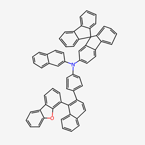 c1ccc2c(c1)-c1ccccc1C21c2ccccc2-c2ccc(N(c3ccc(-c4ccc5ccccc5c4-c4cccc5c4oc4ccccc45)cc3)c3ccc4ccccc4c3)cc21